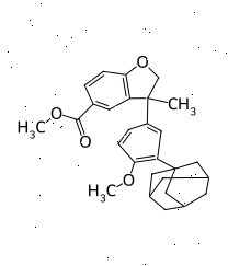 COC(=O)c1ccc2c(c1)C(C)(c1ccc(OC)c(C34CC5CC(CC(C5)C3)C4)c1)CO2